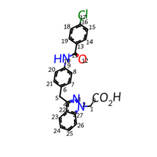 O=C(O)Cn1nc(Cc2ccc(NC(=O)c3ccc(Cl)cc3)cc2)c2ccccc21